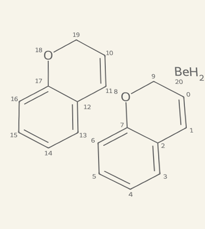 C1=Cc2ccccc2OC1.C1=Cc2ccccc2OC1.[BeH2]